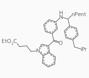 CCCCCC(Nc1cccc(C(=O)c2cn(CCCC(=O)OCC)c3ccccc23)c1)c1ccc(CC(C)C)cc1